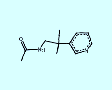 CC(=O)NCC(C)(C)c1cccnc1